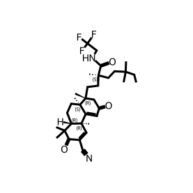 CCC(C)(C)CC[C@@](C)(CC[C@]1(C)CC(=O)C=C2[C@@]3(C)C=C(C#N)C(=O)C(C)(C)[C@@H]3CC[C@]21C)C(=O)NCC(F)(F)F